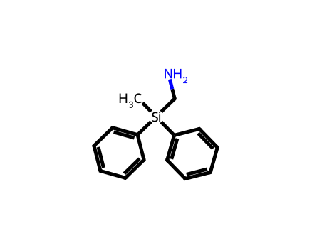 C[Si](CN)(c1ccccc1)c1ccccc1